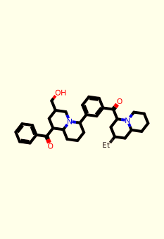 CCC1CC2CCCCN2C(C(=O)c2cccc(C3CCCC4C(C(=O)c5ccccc5)CC(CO)CN34)c2)C1